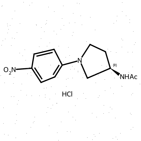 CC(=O)N[C@@H]1CCN(c2ccc([N+](=O)[O-])cc2)C1.Cl